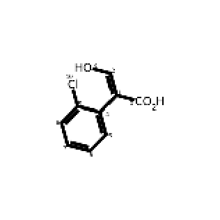 O=C(O)/C(=C/O)c1ccccc1Cl